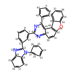 c1ccc(-c2nc(-c3cccc(-c4nc5ccccc5n4-c4ccccc4)c3)nc3ccc4oc5ccccc5c4c23)cc1